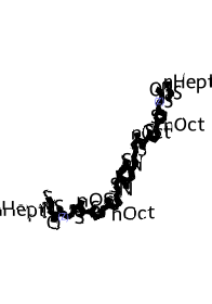 CCCCCCCCc1cc(/C=C2\SC(=S)N(CCCCCCC)C2=O)sc1-c1ccc(-c2sc(-c3nc4cc5nc(-c6cc(CCCCCCCC)c(-c7ccc(-c8sc(/C=C9\SC(=S)N(CCCCCCC)C9=O)cc8CCCCCCCC)s7)s6)sc5cc4s3)cc2CCCCCCCC)s1